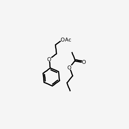 CC(=O)OCCOc1ccccc1.CCCOC(C)=O